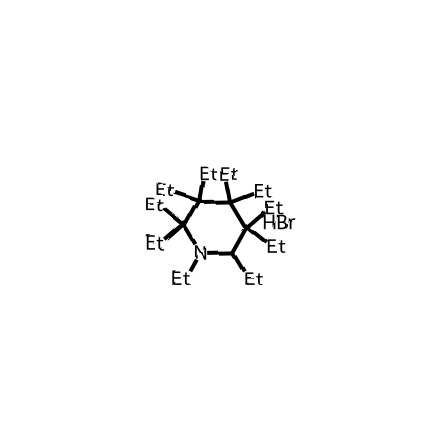 Br.CCC1N(CC)C(CC)(CC)C(CC)(CC)C(CC)(CC)C1(CC)CC